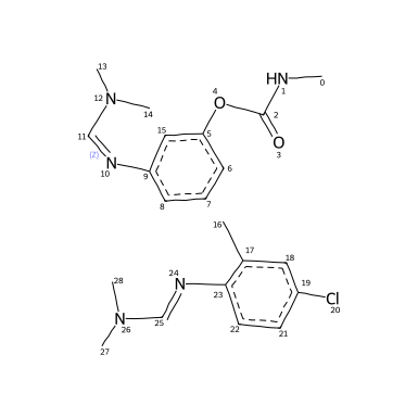 CNC(=O)Oc1cccc(/N=C\N(C)C)c1.Cc1cc(Cl)ccc1N=CN(C)C